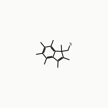 CC1=C(C)C(C)([CH2][Ti])c2c(C)c(C)c(C)c(C)c21